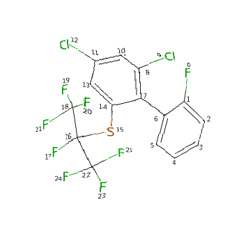 Fc1ccccc1-c1c(Cl)[c]c(Cl)cc1SC(F)(C(F)(F)F)C(F)(F)F